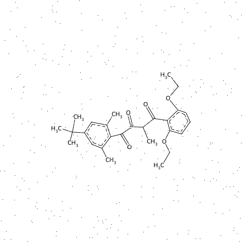 CCOc1cccc(OCC)c1C(=O)C(C)[P](=O)C(=O)c1c(C)cc(C(C)(C)C)cc1C